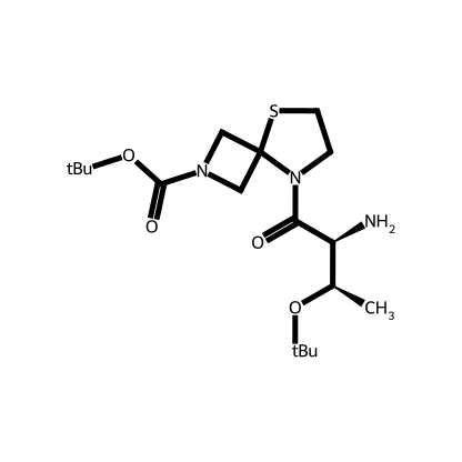 C[C@@H](OC(C)(C)C)[C@H](N)C(=O)N1CCSC12CN(C(=O)OC(C)(C)C)C2